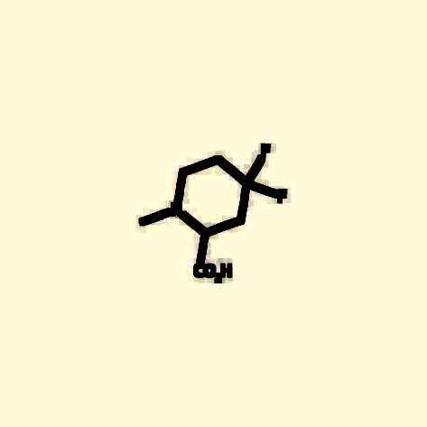 CN1CCC(F)(F)CC1C(=O)O